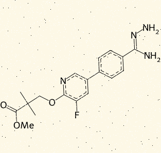 COC(=O)C(C)(C)COc1ncc(-c2ccc(C(N)=NN)cc2)cc1F